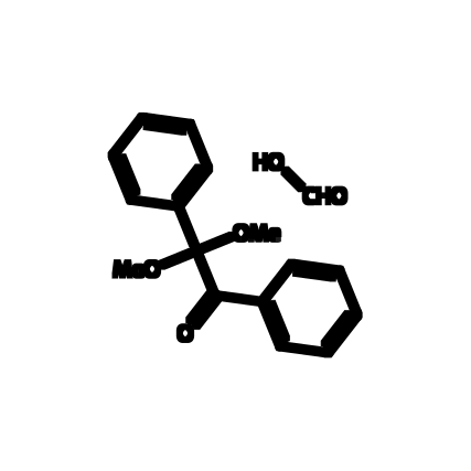 COC(OC)(C(=O)c1ccccc1)c1ccccc1.O=CO